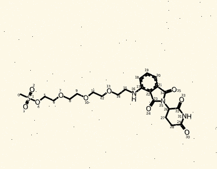 CS(=O)(=O)OCCOCCOCCOCCNc1cccc2c1C(=O)N(C1CCC(=O)NC1=O)C2=O